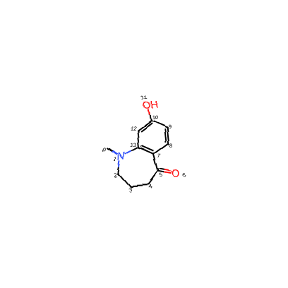 CN1CCCC(=O)c2ccc(O)cc21